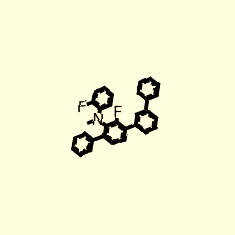 CN(c1ccccc1F)c1c(-c2ccccc2)ccc(-c2cccc(-c3ccccc3)c2)c1F